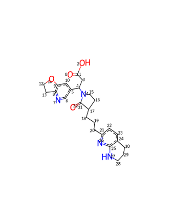 O=C(O)CC(c1cnc2c(c1)OCC2)N1CCC(CCCc2ccc3c(n2)NCCC3)C1=O